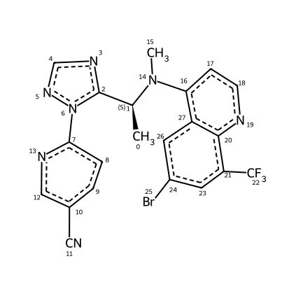 C[C@@H](c1ncnn1-c1ccc(C#N)cn1)N(C)c1ccnc2c(C(F)(F)F)cc(Br)cc12